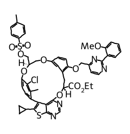 CCOC(=O)[C@H]1Cc2cc(ccc2OCc2ccnc(-c3ccccc3OC)n2)OC[C@H](COS(=O)(=O)c2ccc(C)cc2)Oc2ccc(c(C)c2Cl)-c2c(C3CC3)sc3ncnc(c23)O1